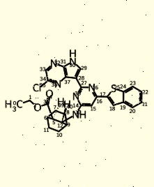 CCOC(=O)[C@@H]1C2CCC(CC2)[C@H]1Nc1cc(-c2cc3ccccc3s2)nc(-c2c[nH]c3ncc(Cl)nc23)n1